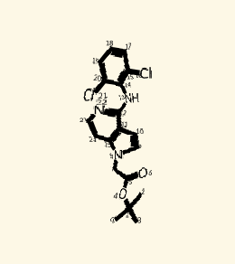 CC(C)(C)OC(=O)Cn1ccc2c(Nc3c(Cl)cccc3Cl)nccc21